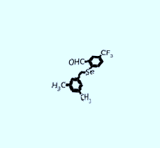 Cc1cc(C)cc(C[Se]c2ccc(C(F)(F)F)cc2C=O)c1